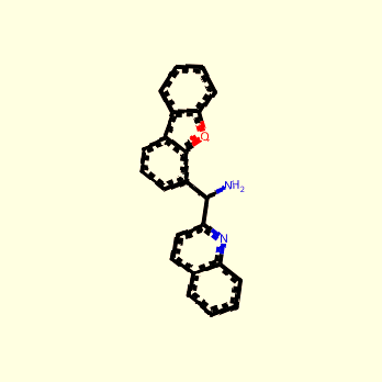 NC(c1ccc2ccccc2n1)c1cccc2c1oc1ccccc12